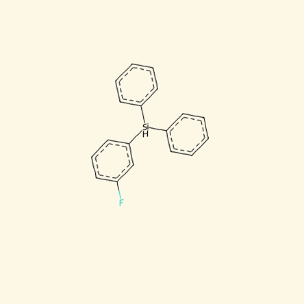 Fc1cccc([SiH](c2ccccc2)c2ccccc2)c1